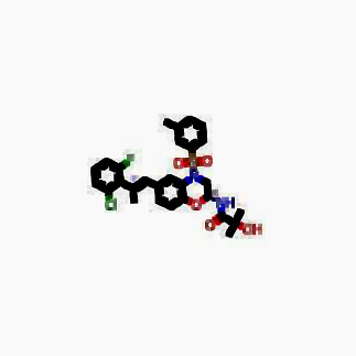 C/C(=C\c1ccc2c(c1)N(S(=O)(=O)c1cccc(C)c1)C[C@H](NC(=O)C(C)(C)O)O2)c1c(F)cccc1Cl